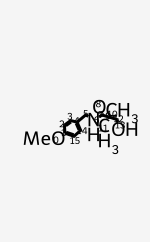 COc1ccc(CNC(=O)C(C)(C)CO)cc1